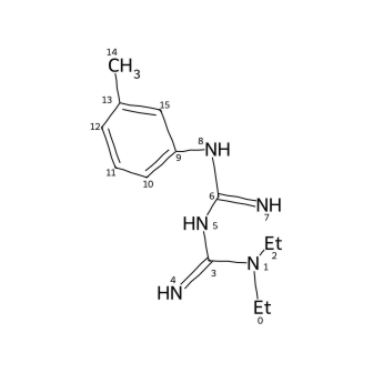 CCN(CC)C(=N)NC(=N)Nc1cccc(C)c1